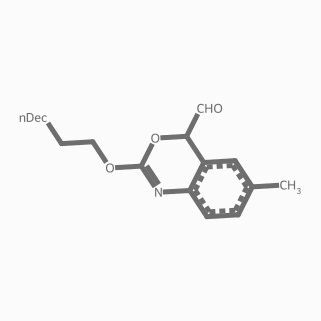 CCCCCCCCCCCCOC1=Nc2ccc(C)cc2C(C=O)O1